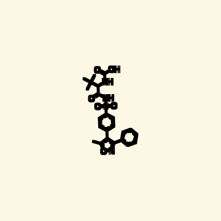 Cc1onc(-c2ccccc2)c1-c1ccc(S(=O)(=O)NC(=O)C(NC(=O)O)C(C)(C)C)cc1